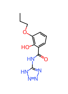 CCCOc1cccc(C(=O)Nc2nnn[nH]2)c1O